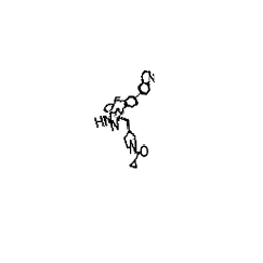 O=C(C1CC1)N1CCC(Cc2n[nH]c(=O)n2-c2ccc(-c3ccc4ncccc4c3)cc2F)C1